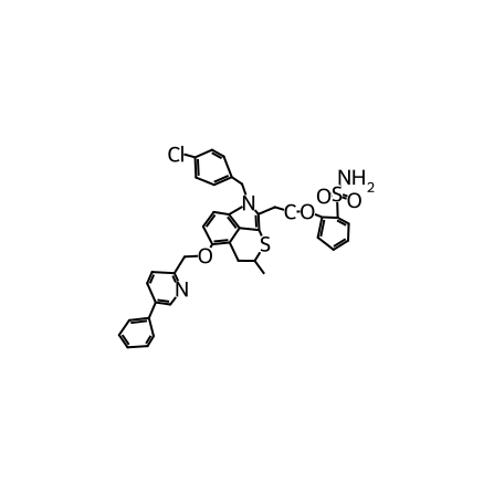 CC1Cc2c(OCc3ccc(-c4ccccc4)cn3)ccc3c2c(c(CCOc2ccccc2S(N)(=O)=O)n3Cc2ccc(Cl)cc2)S1